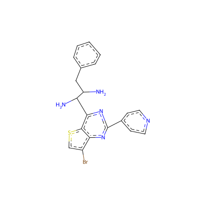 NC(Cc1ccccc1)C(N)c1nc(-c2ccncc2)nc2c(Br)csc12